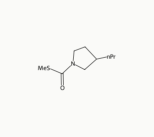 CCCC1CCN(C(=O)SC)C1